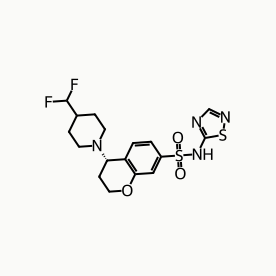 O=S(=O)(Nc1ncns1)c1ccc2c(c1)OCC[C@@H]2N1CCC(C(F)F)CC1